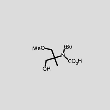 COCC(C)(CO)N(C(=O)O)C(C)(C)C